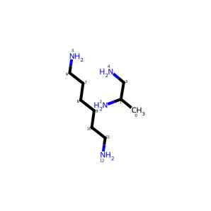 CC(N)CN.NCCCCCCN